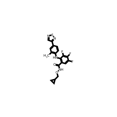 Cc1cc(-c2cnsn2)ccc1Nc1c(C(=O)NOCC2CC2)cc(F)c(F)c1F